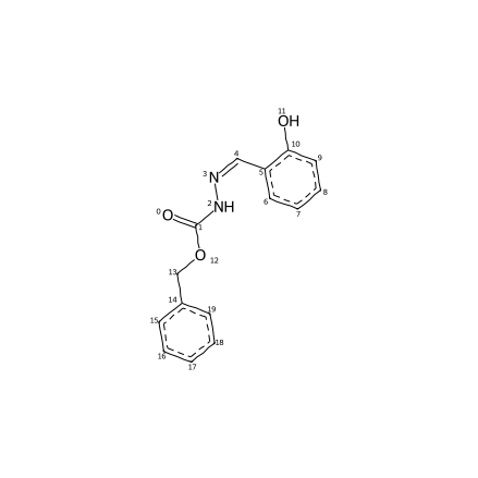 O=C(N/N=C\c1ccccc1O)OCc1ccccc1